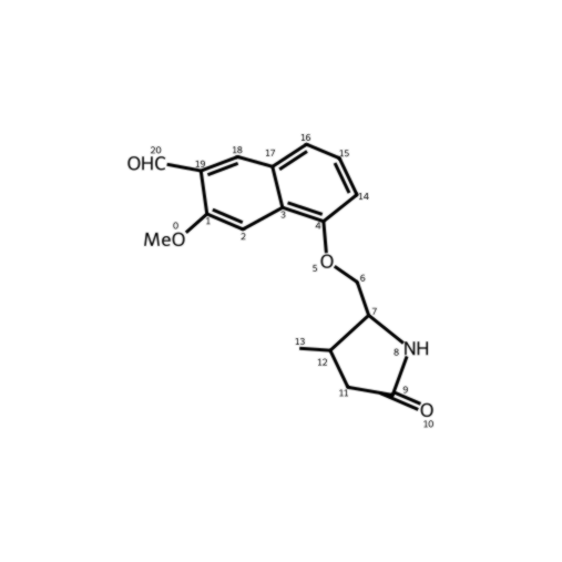 COc1cc2c(OCC3NC(=O)CC3C)cccc2cc1C=O